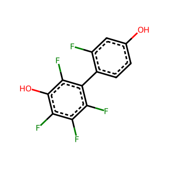 Oc1ccc(-c2c(F)c(O)c(F)c(F)c2F)c(F)c1